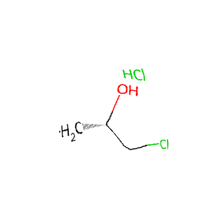 Cl.[CH2][C@H](O)CCl